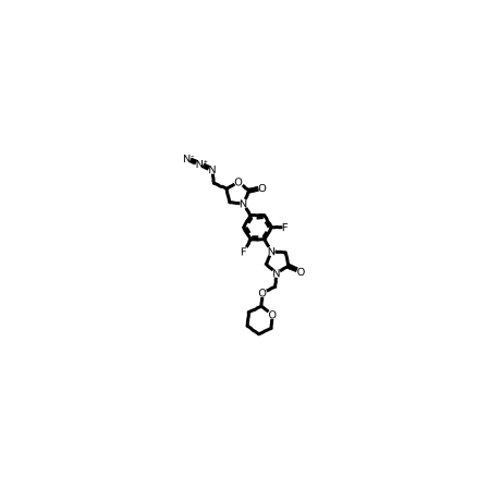 [N-]=[N+]=NCC1CN(c2cc(F)c(N3CC(=O)N(COC4CCCCO4)C3)c(F)c2)C(=O)O1